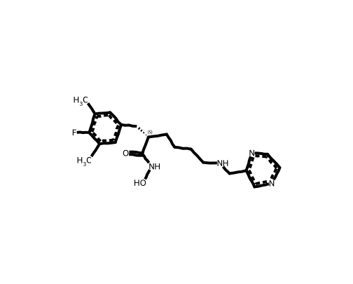 Cc1cc(C[C@H](CCCCNCc2cnccn2)C(=O)NO)cc(C)c1F